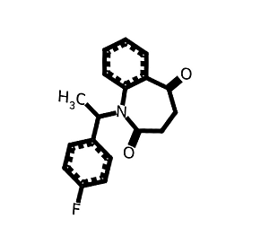 CC(c1ccc(F)cc1)N1C(=O)CCC(=O)c2ccccc21